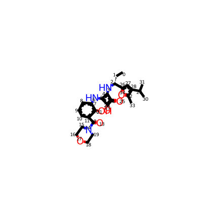 CC[C@@H](Nc1c(Nc2cccc(C(=O)N3CCOCC3)c2O)c(=O)c1=O)c1cc(C(C)C)c(C)o1